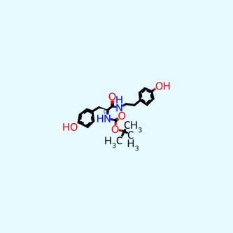 CC(C)(C)OC(=O)N[C@@H](Cc1ccc(O)cc1)C(=O)NCCc1ccc(O)cc1